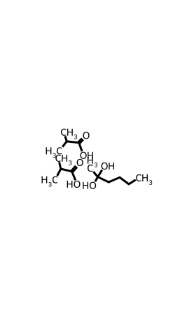 CC(C)C(=O)O.CC(C)C(=O)O.CCCCC(C)(O)O